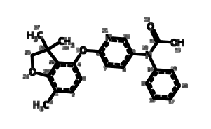 Cc1ccc(Oc2ccc(N(C(=O)O)c3ccccc3)cn2)c2c1OCC2(C)C